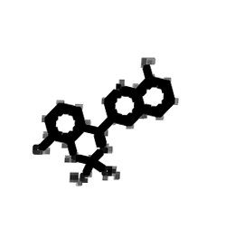 CC1(C)N=C(c2cnc3c(F)cccc3c2)c2cccc(Cl)c2S1